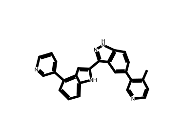 Cc1ccncc1-c1ccc2[nH]nc(-c3cc4c(-c5cccnc5)cccc4[nH]3)c2c1